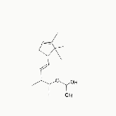 CC1=CCC(C=CC(C)C(C)OC(O)O)C1(C)C